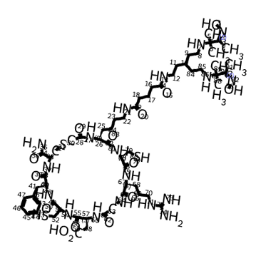 C/C(=N/O)C(C)(C)NCCC(CCNC(=O)CCCC(=O)NCCCC[C@@H]1NC(=O)CSCC(C(N)=O)NC(=O)[C@H](Cc2ccccc2)NC(=O)C(CS)NC(=O)[C@H](CC(=O)O)NC(=O)CNC(=O)[C@H](CCCNC(=N)N)NC(=O)[C@H](CS)NC1=O)CCNC(C)(C)/C(C)=N\O